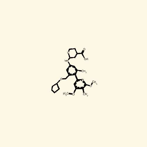 COc1cc(-c2c(C)cc(NC3CC(C(=O)O)CCO3)cc2COC2CCCC2)nc(OC)c1C